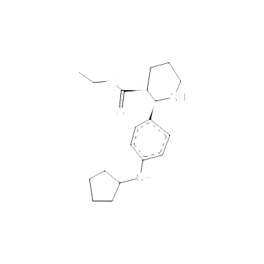 CCOC(=O)[C@H]1CCCN[C@H]1c1ccc(NC2CCCC2)cc1